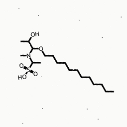 CCCCCCCCCCCCOC(C(C)O)N(C)C(C)S(=O)(=O)O